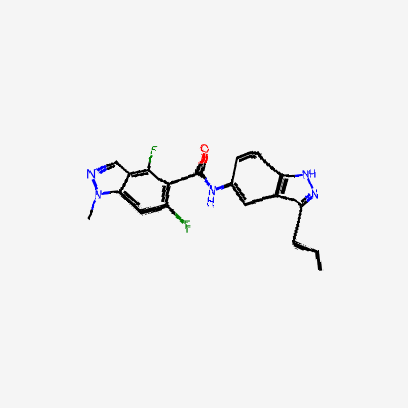 CCCc1n[nH]c2ccc(NC(=O)c3c(F)cc4c(cnn4C)c3F)cc12